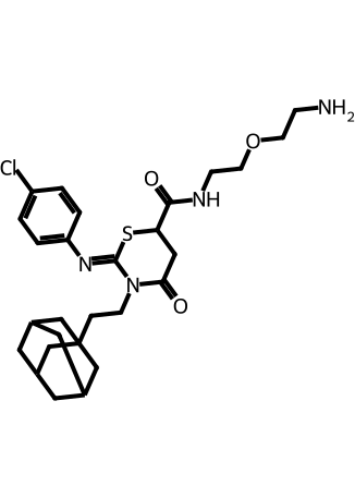 NCCOCCNC(=O)C1CC(=O)N(CCC23CC4CC(CC(C4)C2)C3)/C(=N/c2ccc(Cl)cc2)S1